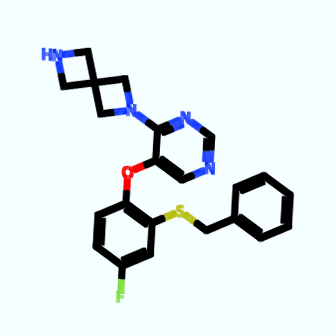 Fc1ccc(Oc2cncnc2N2CC3(CNC3)C2)c(SCc2ccccc2)c1